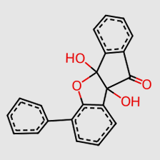 O=C1c2ccccc2C2(O)Oc3c(-c4ccccc4)cccc3C12O